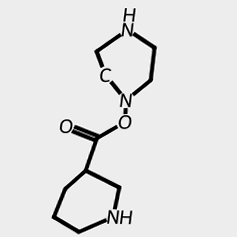 O=C(ON1CCNCC1)C1CCCNC1